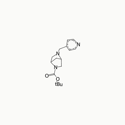 CC(C)(C)OC(=O)N1CC2CC1CN2Cc1ccncc1